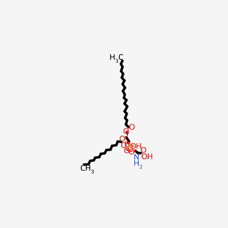 CCCCCCCCCCCCCCCCCCCCCC(=O)OC[C@H](COP(=O)(O)OC[C@H](N)C(=O)O)OC(=O)CCCCCCCCCCCCCC